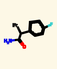 CC(C)C(C(N)=O)c1ccc(F)cc1